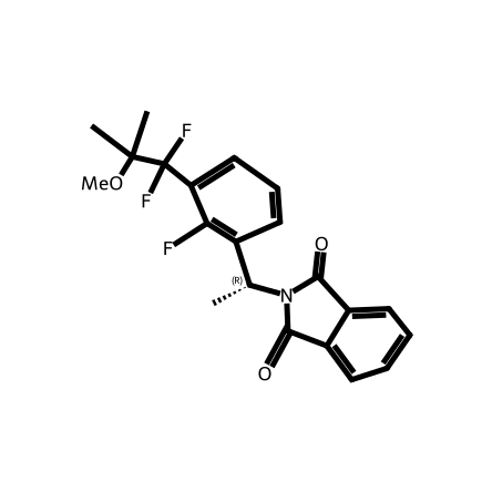 COC(C)(C)C(F)(F)c1cccc([C@@H](C)N2C(=O)c3ccccc3C2=O)c1F